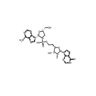 Nc1ncnc2c1ncn2[C@@H]1O[C@H](CO)C[C@H]1P(=O)(S)OCC[C@H]1O[C@@H](n2ccc3c(=O)[nH]cnc32)[C@@H](F)[C@@H]1O